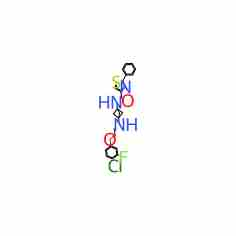 O=C(NC12CC(NCCOc3ccc(Cl)c(F)c3)(C1)C2)c1csc(-c2ccccc2)n1